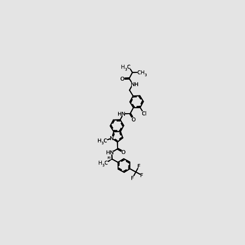 CC(C)C(=O)NCc1ccc(Cl)c(C(=O)Nc2ccc3c(c2)cc(C(=O)N[C@H](C)c2ccc(C(F)(F)F)cc2)n3C)c1